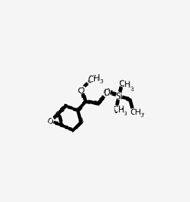 CC[Si](C)(C)OCC(OC)C1CCC2OC2C1